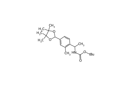 Cc1cc(C2OC(C)(C)C(C)(C)O2)ccc1C(C)NC(=O)OC(C)(C)C